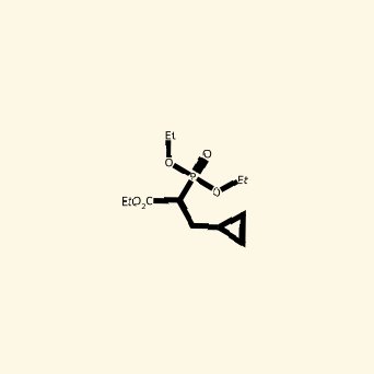 CCOC(=O)C(CC1CC1)P(=O)(OCC)OCC